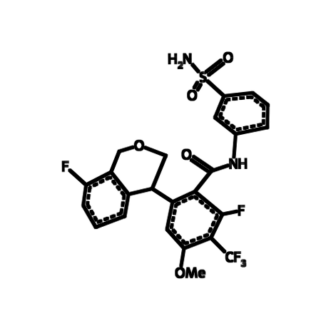 COc1cc(C2COCc3c(F)cccc32)c(C(=O)Nc2cccc(S(N)(=O)=O)c2)c(F)c1C(F)(F)F